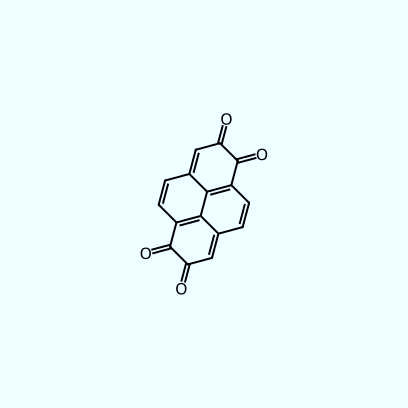 O=c1cc2ccc3c(=O)c(=O)cc4ccc(c1=O)c2c43